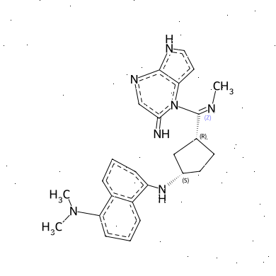 C/N=C(/[C@@H]1CC[C@H](Nc2cccc3c(N(C)C)cccc23)C1)n1c(=N)cnc2[nH]ccc21